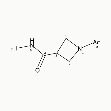 CC(=O)N1CC(C(=O)NI)C1